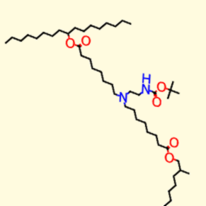 CCCCCCCCC(CCCCCCCC)OC(=O)CCCCCCCN(CCCCCCCC(=O)OCC(C)CCCCCCC)CCNC(=O)OC(C)(C)C